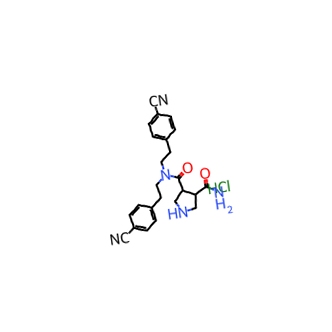 Cl.N#Cc1ccc(CCN(CCc2ccc(C#N)cc2)C(=O)C2CNCC2C(N)=O)cc1